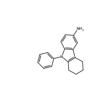 Nc1ccc2c(c1)c1c(n2-c2ccccc2)CCCC1